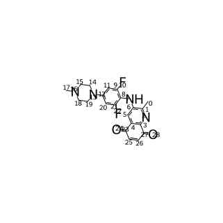 Cc1nc2c(cc1Nc1c(F)cc(N3CCN(C)CC3)cc1F)C(=O)C=CC2=O